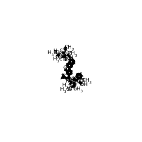 CCC[C@@H](CC)N(C(=O)[C@H](C)NC(=O)OC)[C@@H](C)c1nc2ccc3cc4c(cc3c2[nH]1)OCc1cc(-c2[nH]c([C@H](C)N(C[C@H](C)COC)C(=O)[C@H](NC(O)OC)c3ccccc3)nc2C2CC2)ccc1-4